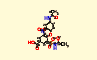 CC(=O)Nc1ccc(Oc2c([N+](=O)[O-])cc(C(=O)O)cc2S(=O)(=O)NC(C)=O)cc1